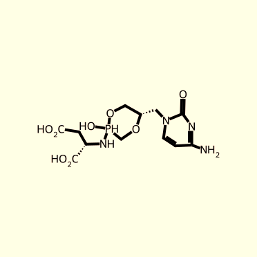 Nc1ccn(C[C@H]2CO[PH](O)(N[C@@H](CC(=O)O)C(=O)O)CO2)c(=O)n1